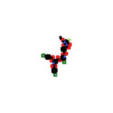 CCOCn1cc(F)c(=O)n(C(=O)c2cccc(C(=O)Oc3cc(OC(=O)c4cc(OC(=O)c5ccc(Cl)cc5)nc(OC(=O)c5ccc(Cl)cc5)c4)c(Cl)cn3)c2)c1=O